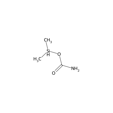 C[SiH](C)OC(N)=O